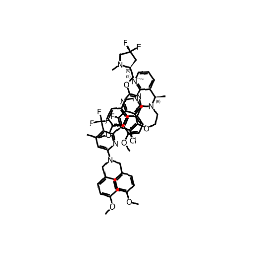 COc1ccc(CN(Cc2ccc(OC)cc2)c2cc(C)c(C(F)(F)F)c(-c3c(Cl)c4c5c(nc(O[C@@H](C)[C@@H]6CC(F)(F)CN6C)nc5c3F)N([C@H](C)c3cccnc3N(Cc3ccc(OC)cc3)Cc3ccc(OC)cc3)CCO4)n2)cc1